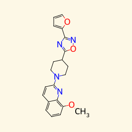 COc1cccc2ccc(N3CCC(c4nc(-c5ccco5)no4)CC3)nc12